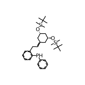 CC(C)(C)[Si](C)(C)O[C@H]1CC(=CCc2ccccc2Pc2ccccc2)C[C@H](O[Si](C)(C)C(C)(C)C)C1